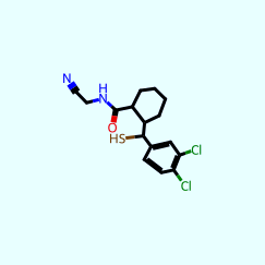 N#CCNC(=O)C1CCCCC1C(S)c1ccc(Cl)c(Cl)c1